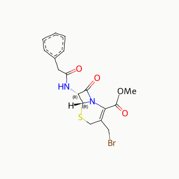 COC(=O)C1=C(CBr)CS[C@@H]2[C@H](NC(=O)Cc3ccccc3)C(=O)N12